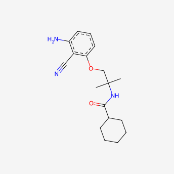 CC(C)(COc1cccc(N)c1C#N)NC(=O)C1CCCCC1